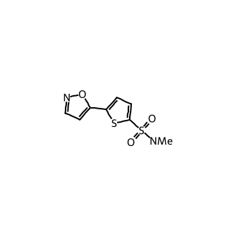 CNS(=O)(=O)c1ccc(-c2ccno2)s1